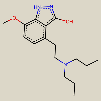 CCCN(CCC)CCc1ccc(OC)c2[nH]nc(O)c12